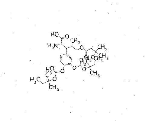 CCC(C)(C)OC(=O)Oc1ccc(C(C(C)COC(=O)CC(C)(C)C)[C@H](N)C(=O)O)cc1OC(=O)OC(C)(C)CC